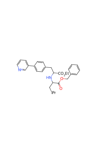 CCOC(=O)C(Cc1ccc(-c2cccnc2)cc1)NC(CC(C)C)C(=O)OCc1ccccc1